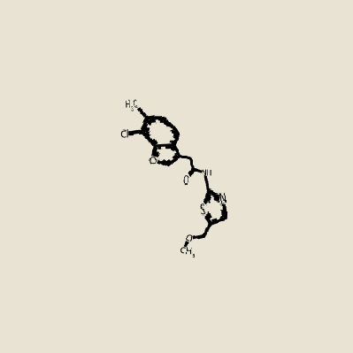 COCc1cnc(NC(=O)Cc2coc3c(Cl)c(C)ccc23)s1